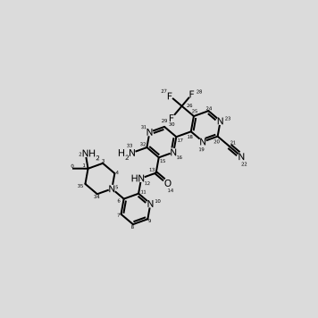 CC1(N)CCN(c2cccnc2NC(=O)c2nc(-c3nc(C#N)ncc3C(F)(F)F)cnc2N)CC1